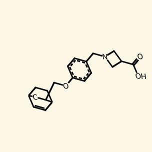 O=C(O)C1CN(Cc2ccc(OCC3CC4C=CC3CC4)cc2)C1